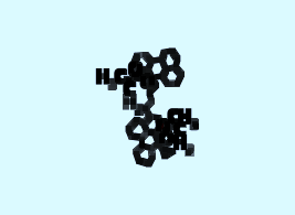 C=C(C)C(=O)OC1(CCCCc2ccc3c4c(cccc24)-c2ccccc2C3(OC(=O)C(=C)C)C2CC2)c2ccccc2-c2cccc3cccc1c23